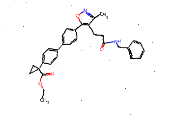 CCOC(=O)C1(c2ccc(-c3ccc(-c4onc(C)c4CCC(=O)NCc4ccccc4)cc3)cc2)CC1